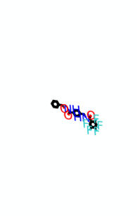 O=C(NOCc1ccccc1)c1ccc(CNC(=O)c2c(F)c(F)c(F)c(F)c2F)cc1